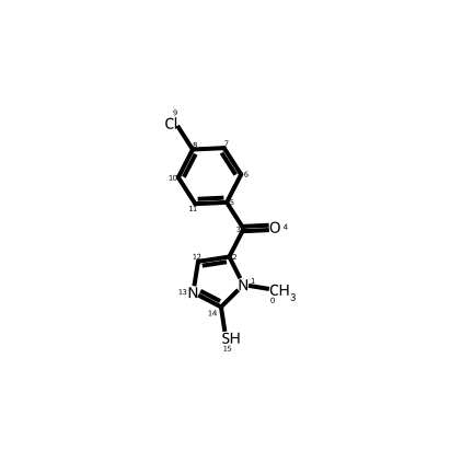 Cn1c(C(=O)c2ccc(Cl)cc2)cnc1S